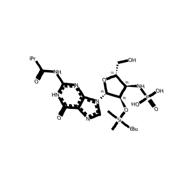 CC(C)C(=O)Nc1nc2c(ncn2[C@@H]2O[C@H](CO)[C@@H](NP(=O)(O)O)[C@H]2O[Si](C)(C)C(C)(C)C)c(=O)[nH]1